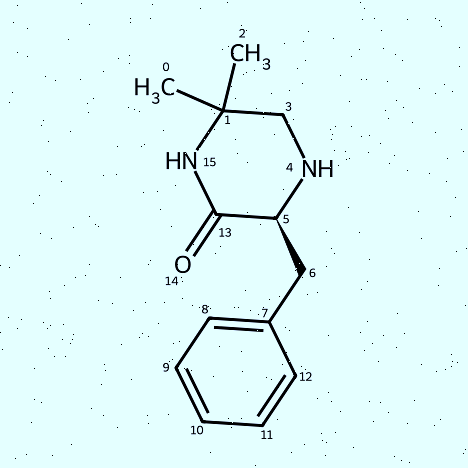 CC1(C)CN[C@@H](Cc2ccccc2)C(=O)N1